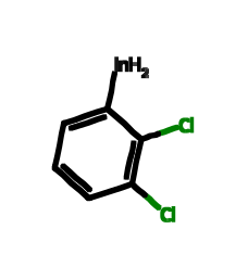 Clc1ccc[c]([InH2])c1Cl